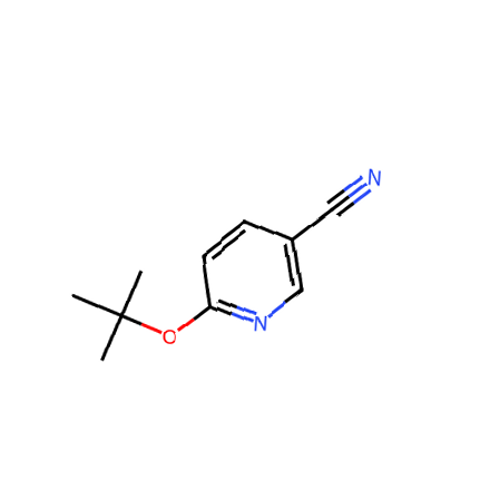 CC(C)(C)Oc1ccc(C#N)cn1